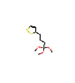 CO[Si](CCCC1C=CSS1)(OC)OC